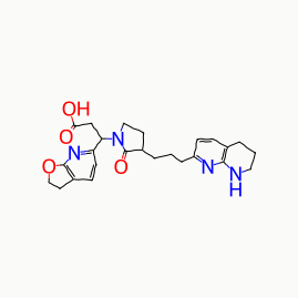 O=C(O)CC(c1ccc2c(n1)OCC2)N1CCC(CCCc2ccc3c(n2)NCCC3)C1=O